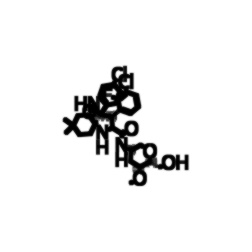 CO[C@H]1C[C@@H](NC(=O)C2NC3(CCC(C)(C)CC3)[C@@]3(C(=O)Nc4cc(Cl)ccc43)[C@H]2c2cccc(Cl)c2F)CO[C@@H]1CO